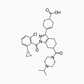 CC(C)N1CCN(C(=O)C2CCc3c(C4=CCC(C(=O)O)CC4)nn(C(=O)c4c(Cl)cccc4C4CC4)c3C2)CC1